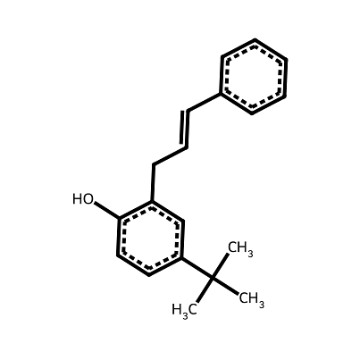 CC(C)(C)c1ccc(O)c(C/C=C/c2ccccc2)c1